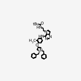 Cc1cc(Nc2ncnc3ccn(CCNC(=O)C(C)(C)C)c23)ccc1OC1=CN(Cc2ccccc2)S(Cc2ccccc2)=C1